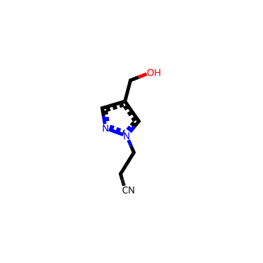 N#CCCn1cc(CO)cn1